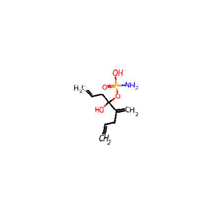 C=CCC(=C)C(O)(CC=C)OP(N)(=O)O